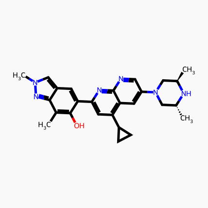 Cc1c(O)c(-c2cc(C3CC3)c3cc(N4C[C@@H](C)N[C@H](C)C4)cnc3n2)cc2cn(C)nc12